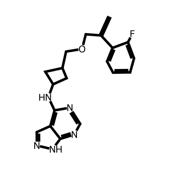 C=C(COCC1CC(Nc2ncnc3[nH]ncc23)C1)c1ccccc1F